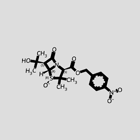 CC(C)(O)[C@H]1C(=O)N2[C@@H]1[S@@+]([O-])C(C)(C)[C@@H]2C(=O)OCc1ccc([N+](=O)[O-])cc1